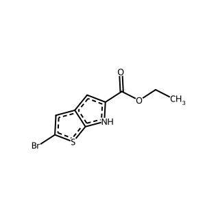 CCOC(=O)c1cc2cc(Br)sc2[nH]1